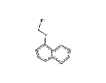 CC(C)C[N]c1cccc2ccccc12